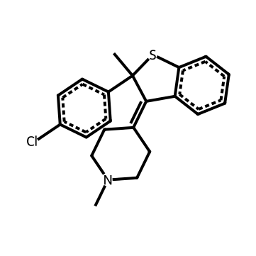 CN1CCC(=C2c3ccccc3SC2(C)c2ccc(Cl)cc2)CC1